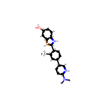 CN(C)c1ccc(-c2ccc(-c3nc4ccc(O)cc4s3)c(C(F)(F)F)c2)cn1